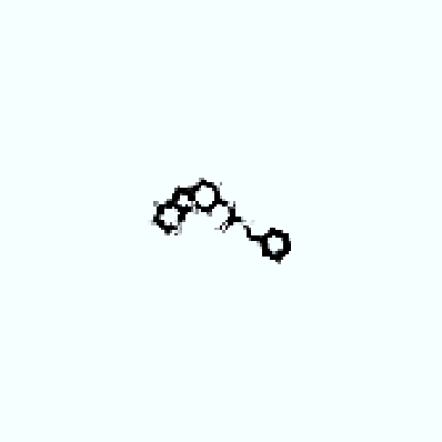 O=C(OCc1ccccc1)OC1CCc2cc3cccnc3n2C1